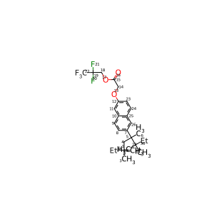 CCC(C)(C)CC(C)(c1ccc2cc(OCC(=O)OCC(F)(F)C(F)(F)F)ccc2c1)C(C)(C)CC